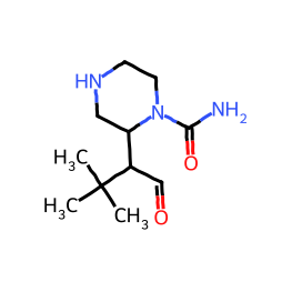 CC(C)(C)C(C=O)C1CNCCN1C(N)=O